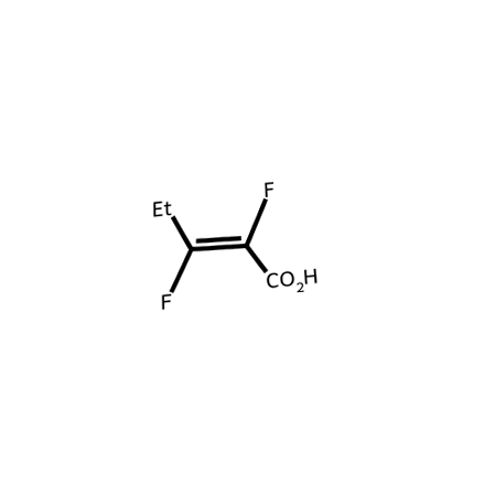 CC/C(F)=C(\F)C(=O)O